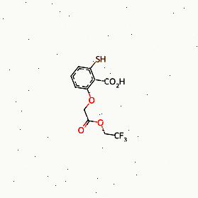 O=C(COc1cccc(S)c1C(=O)O)OCC(F)(F)F